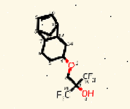 OC(COC1CCC2C3C=CC(C3)C2C1)(C(F)(F)F)C(F)(F)F